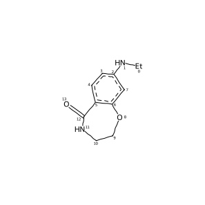 CCNc1ccc2c(c1)OCCNC2=O